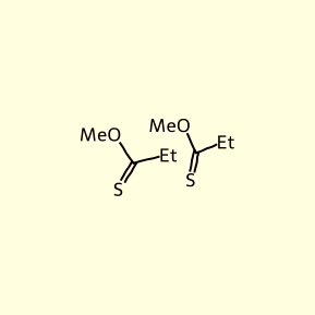 CCC(=S)OC.CCC(=S)OC